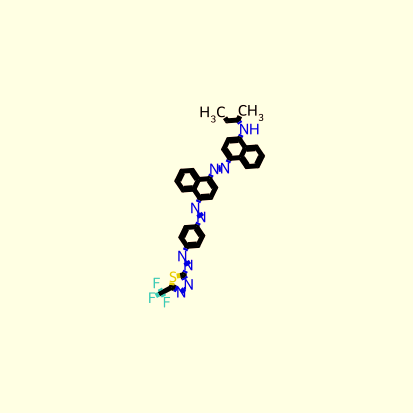 CCC(C)Nc1ccc(/N=N/c2ccc(/N=N/c3ccc(/N=N/c4nnc(C(F)(F)F)s4)cc3)c3ccccc23)c2ccccc12